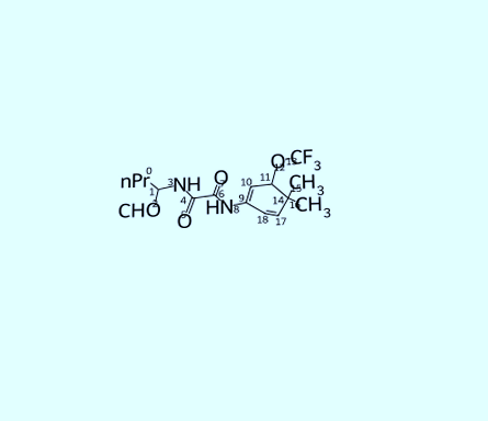 CCCC(C=O)NC(=O)C(=O)NC1=CC(OC(F)(F)F)C(C)(C)C=C1